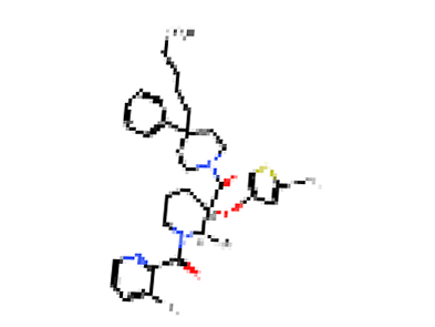 CCC[C@H]1N(C(=O)c2ncccc2C(F)(F)F)CCC[C@@]1(Oc1csc(C(F)(F)F)c1)C(=O)N1CCC(CCCCC(=O)O)(c2ccccc2)CC1